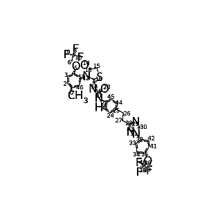 Cc1ccc(OCC(F)(F)F)c(N2C(=O)CS/C2=N\C(=O)Nc2ccc(CCc3ncn(-c4ccc(OC(F)(F)F)cc4)n3)cc2)c1